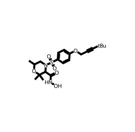 CC1CN(S(=O)(=O)c2ccc(OCC#CC(C)(C)C)cc2)C(C(=O)NO)C(C)(C)O1